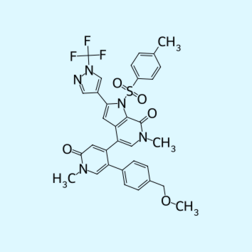 COCc1ccc(-c2cn(C)c(=O)cc2-c2cn(C)c(=O)c3c2cc(-c2cnn(C(F)(F)F)c2)n3S(=O)(=O)c2ccc(C)cc2)cc1